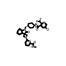 CNC(=O)c1cccc(N2CC3(C2)C(=O)N(C[C@H]2CC[C@H](NC(=O)c4cc(Cl)cnc4C(F)F)CC2)c2ccccc23)n1